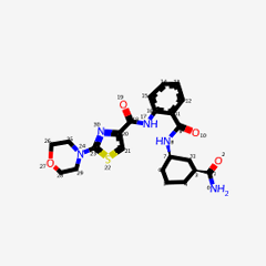 NC(=O)[C@H]1CCC[C@@H](NC(=O)c2ccccc2NC(=O)c2csc(N3CCOCC3)n2)C1